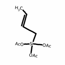 C/C=C/C[Si](OC(C)=O)(OC(C)=O)OC(C)=O